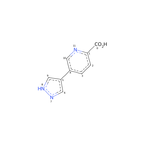 O=C(O)c1ccc(-c2cn[nH]c2)cn1